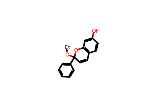 CCOC1(c2ccccc2)C=Cc2ccc(O)cc2O1